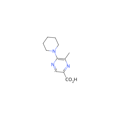 Cc1nc(C(=O)O)[c]nc1N1CCCCC1